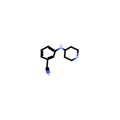 N#Cc1cccc(NC2CC[N]CC2)c1